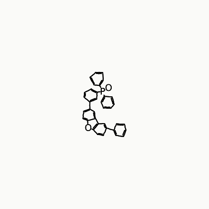 O=P(c1ccccc1)(c1ccccc1)c1cccc(-c2ccc3oc4ccc(-c5ccccc5)cc4c3c2)c1